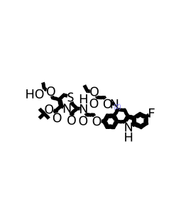 CCOC(=O)CO/N=C1/Cc2c([nH]c3ccc(F)cc23)-c2ccc(OCC(=O)NC3C(=O)N4C(C(=O)OC(C)(C)C)=C(COC(C)O)CSC34)cc21